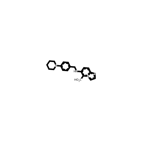 O=C(O)c1c(NCc2ccc(N3CCCCC3)cc2)ccc2nccn12